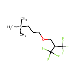 C[Si](C)(C)CCCOCC(C(F)(F)F)C(F)(F)F